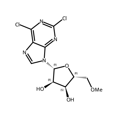 COC[C@H]1O[C@@H](n2cnc3c(Cl)nc(Cl)nc32)[C@H](O)[C@@H]1O